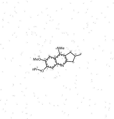 CCCOc1cc2nc3c(c(NC)c2cc1OC)CC(C)C3